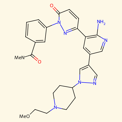 CNC(=O)c1cccc(-n2nc(-c3cc(-c4cnn(C5CCN(CCOC)CC5)c4)cnc3N)ccc2=O)c1